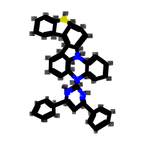 c1ccc(-c2cc(-c3ccccc3)nc(N3c4ccccc4-n4c5ccc6sc7ccccc7c6c5c5cccc3c54)n2)cc1